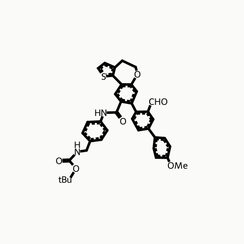 COc1ccc(-c2ccc(-c3cc4c(cc3C(=O)Nc3ccc(CNC(=O)OC(C)(C)C)cc3)-c3sccc3CCO4)c(C=O)c2)cc1